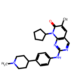 CN1CCC(c2ccc(Nc3ncc4cc(C#N)c(=O)n(C5CCCC5)c4n3)cc2)CC1